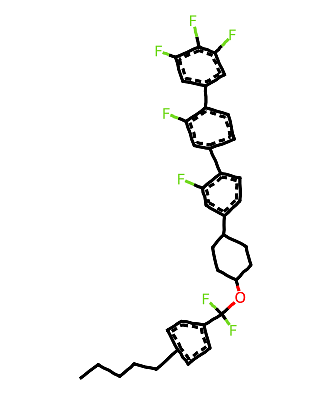 CCCCCc1ccc(C(F)(F)OC2CCC(c3ccc(-c4ccc(-c5cc(F)c(F)c(F)c5)c(F)c4)c(F)c3)CC2)cc1